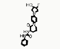 O=C(Nc1ccccc1)N[C@@H]1CCCN(c2ccc(N3CC(O)C(F)C3)cc2)C1=O